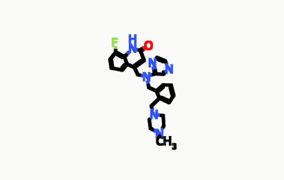 CN1CCN(Cc2ccccc2CN(Cc2cc(=O)[nH]c3c(F)cccc23)c2cnccn2)CC1